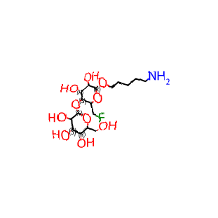 NCCCCCO[C@@H]1OC(CF)[C@@H](O[C@@H]2OC(CO)[C@H](O)[C@H](O)C2O)[C@H](O)C1O